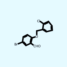 O=Cc1cc(Br)ccc1OCc1ccccc1Cl